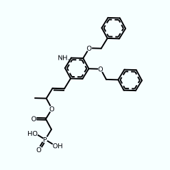 CC(C=Cc1ccc(OCc2ccccc2)c(OCc2ccccc2)c1)OC(=O)CP(=O)(O)O.N